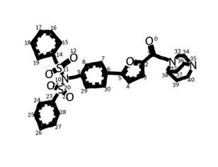 O=C(c1ccc(-c2ccc(N(S(=O)(=O)c3ccccc3)S(=O)(=O)c3ccccc3)cc2)o1)N1CCN2CCC1CC2